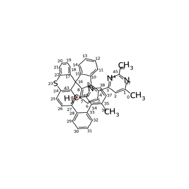 Cc1cc(-c2cccc3c2-c2ccccc2C32c3ccccc3Sc3ccc(-c4ccccc4-c4c(C)ccnc4C)cc32)nc(C)n1